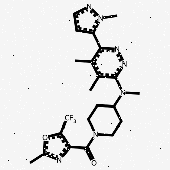 Cc1nc(C(=O)N2CCC(N(C)c3nnc(-c4ccnn4C)c(C)c3C)CC2)c(C(F)(F)F)o1